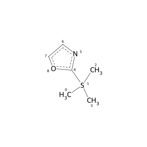 CS(C)(C)c1ncco1